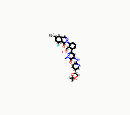 Cn1nc(-c2cccc(-n3ncc4cc(C(C)(C)C)cc(F)c4c3=O)c2CO)cc(Nc2ccc([C@H]3COC(C)(C)O3)cn2)c1=O